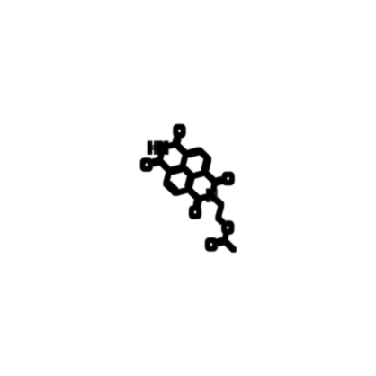 CC(=O)OCCN1C(=O)c2ccc3c4c(ccc(c24)C1=O)C(=O)NC3=O